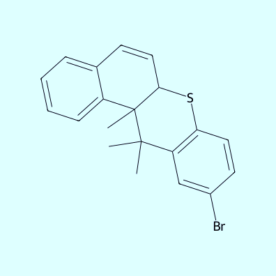 CC1(C)c2cc(Br)ccc2SC2C=Cc3ccccc3C21C